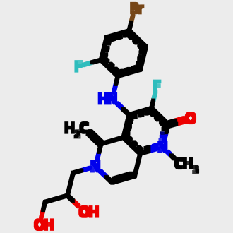 C=C1c2c(Nc3ccc(Br)cc3F)c(F)c(=O)n(C)c2C=CN1CC(O)CO